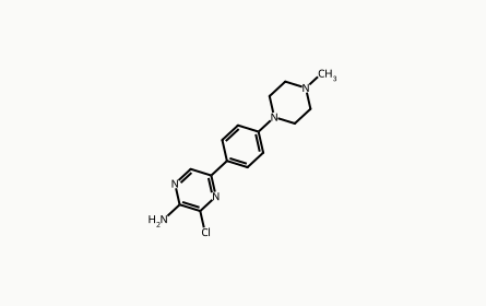 CN1CCN(c2ccc(-c3cnc(N)c(Cl)n3)cc2)CC1